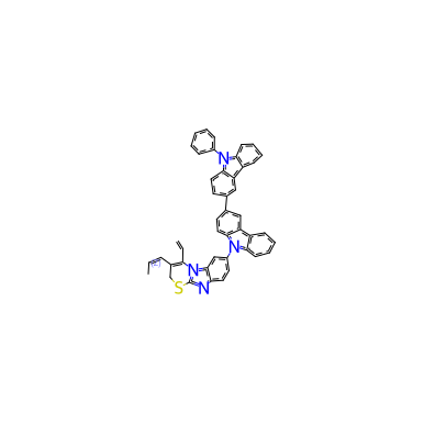 C=CC1=C(/C=C\C)CSc2nc3ccc(-n4c5ccccc5c5cc(-c6ccc7c(c6)c6ccccc6n7-c6ccccc6)ccc54)cc3n21